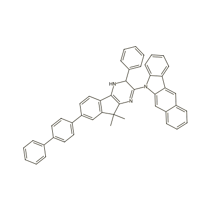 CC1(C)C2=C(NC(c3ccccc3)C(n3c4ccccc4c4cc5ccccc5cc43)=N2)c2ccc(-c3ccc(-c4ccccc4)cc3)cc21